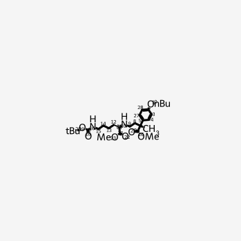 CCCCOc1ccc(C(C)(CCN[C@H](CCCCNC(=O)OC(C)(C)C)C(=O)OC)C(=O)OC)cc1